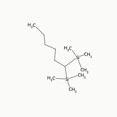 CCCCCC([Si](C)(C)C)[Si](C)(C)C